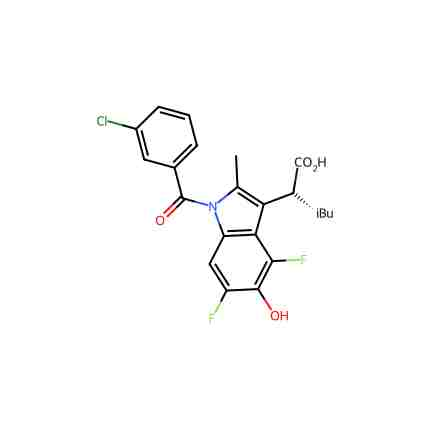 CC[C@@H](C)C(C(=O)O)c1c(C)n(C(=O)c2cccc(Cl)c2)c2cc(F)c(O)c(F)c12